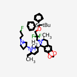 C=C(/C=C\C(=C/C)N[C@H]1CCN(CCCF)C1)[C@@H]1c2cc3c(cc2C[C@@H](C)N1CC(F)(F)CO[Si](c1ccccc1)(c1ccccc1)C(C)(C)C)OCO3